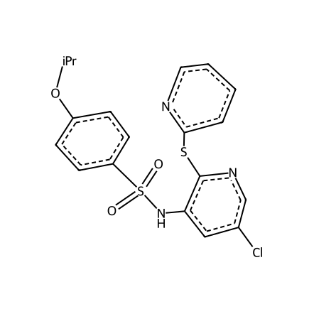 CC(C)Oc1ccc(S(=O)(=O)Nc2cc(Cl)cnc2Sc2ccccn2)cc1